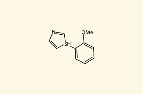 COc1ccccc1[SH]1C=CN=C1